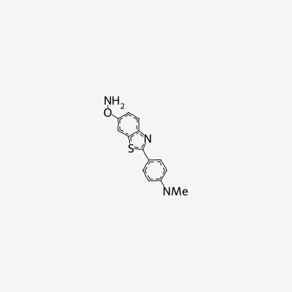 CNc1ccc(-c2nc3ccc(ON)cc3s2)cc1